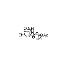 CC[C@@H](CC(C)C)C[C@H](CNC(=O)O[C@H](OC(C)=O)C(C)C)C(=O)O